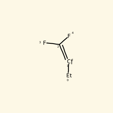 C[CH2][Cf]=[C](F)F